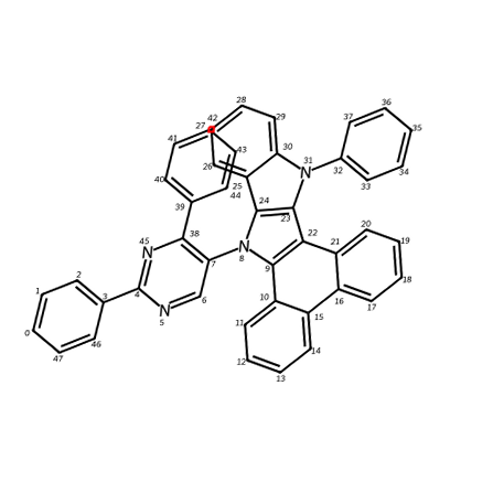 c1ccc(-c2ncc(-n3c4c5ccccc5c5ccccc5c4c4c3c3ccccc3n4-c3ccccc3)c(-c3ccccc3)n2)cc1